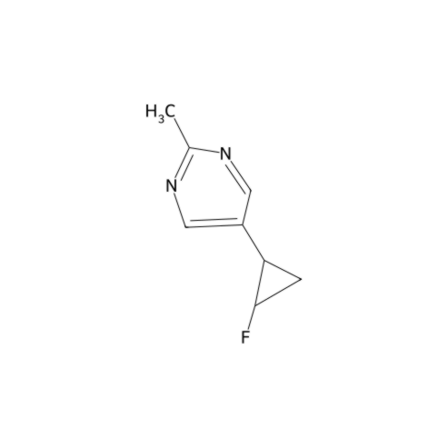 Cc1ncc(C2CC2F)cn1